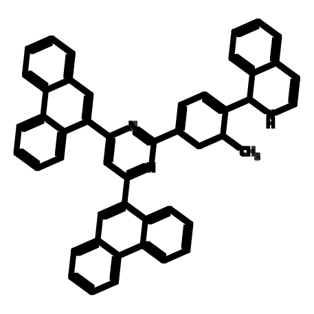 CC1CC(c2nc(-c3cc4ccccc4c4ccccc34)cc(-c3cc4ccccc4c4ccccc34)n2)=CC=C1C1NC=Cc2ccccc21